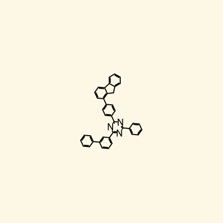 c1ccc(-c2cccc(-c3nc(-c4ccccc4)nc(-c4ccc(-c5cccc6c5Cc5ccccc5-6)cc4)n3)c2)cc1